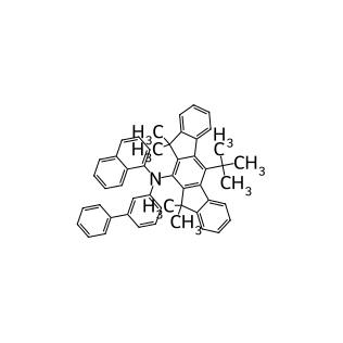 CC(C)(C)c1c2c(c(N(c3cccc(-c4ccccc4)c3)c3cccc4ccccc34)c3c1-c1ccccc1C3(C)C)C(C)(C)c1ccccc1-2